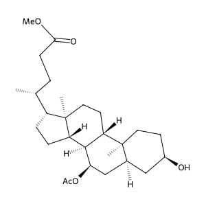 COC(=O)CC[C@@H](C)[C@H]1CC[C@H]2[C@@H]3[C@H](OC(C)=O)C[C@@H]4C[C@H](O)CC[C@]4(C)[C@H]3CC[C@]12C